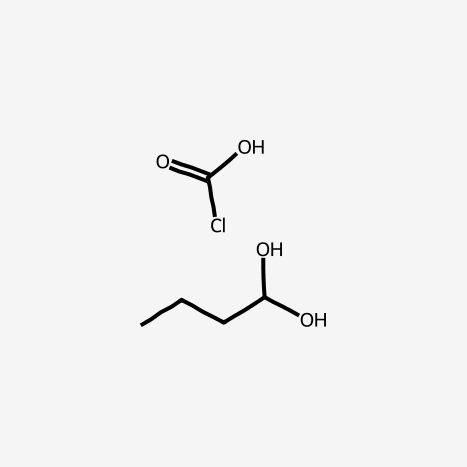 CCCC(O)O.O=C(O)Cl